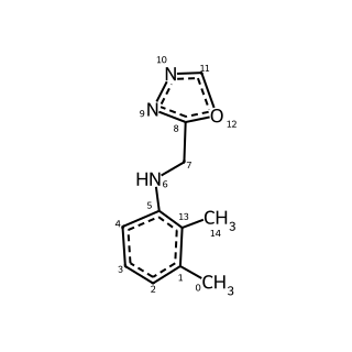 Cc1cccc(NCc2nnco2)c1C